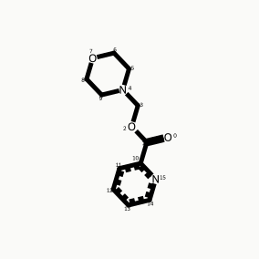 O=C(OCN1CCOCC1)c1ccccn1